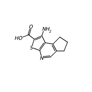 Nc1c(C(=O)O)sc2ncc3c(c12)CCC3